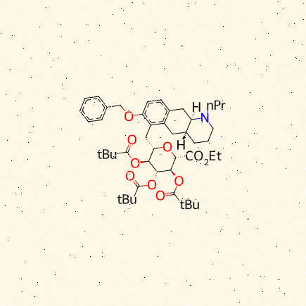 CCCN1CCC[C@@H]2Cc3c(ccc(OCc4ccccc4)c3C[C@@H]3O[C@H](C(=O)OCC)[C@@H](OC(=O)C(C)(C)C)[C@H](OC(=O)C(C)(C)C)[C@H]3OC(=O)C(C)(C)C)C[C@H]21